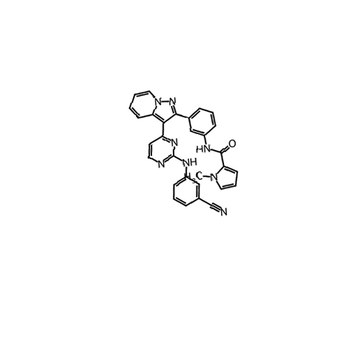 Cn1cccc1C(=O)Nc1cccc(-c2nn3ccccc3c2-c2ccnc(Nc3cccc(C#N)c3)n2)c1